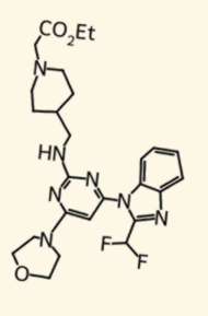 CCOC(=O)CN1CCC(CNc2nc(N3CCOCC3)cc(-n3c(C(F)F)nc4ccccc43)n2)CC1